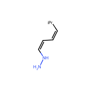 CC(C)/C=C\C=C/NN